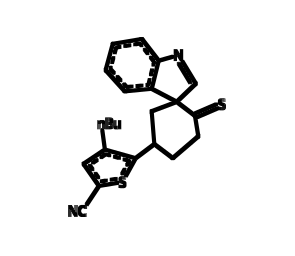 CCCCc1cc(C#N)sc1C1CCC(=S)C2(C=Nc3ccccc32)C1